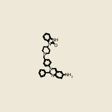 Nc1ccc2c(c1)=CN(c1ccc(CN3CCC(n4c(=O)[nH]c5ccccc54)CC3)cc1)C(c1ccccc1)N=2